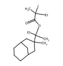 CCC(C)(I)C(=O)OC(C)(CC)C1(C)CC2CCCC(C2)C1